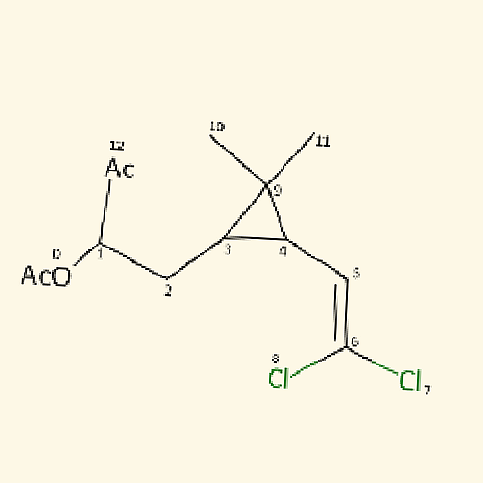 CC(=O)OC(CC1C(C=C(Cl)Cl)C1(C)C)C(C)=O